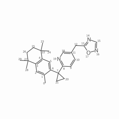 Cc1cc2c(cc1C1(c3ccc(Cc4ncno4)cn3)CC1)C(C)(C)CCC2(C)C